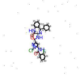 O=C(NC1N=C(c2ccccc2)c2ccccc2NC1=O)c1cc(NC(=O)c2ccccc2F)n(Cl)n1